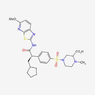 COc1ccc2nc(NC(=O)[C@H](CC3CCCC3)c3ccc(S(=O)(=O)N4CCN(C)C(C(=O)O)C4)cc3)sc2n1